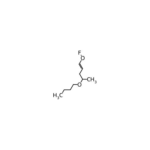 CCCCOC(C)CC=COF